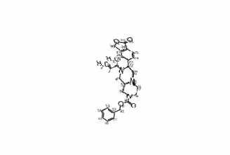 C=CCN1CC2CN(C(=O)OCc3ccccc3)CCN2CC1c1ccc2c(c1C)COC2=O